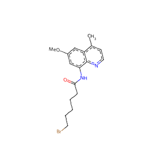 COc1cc(NC(=O)CCCCCBr)c2nccc(C)c2c1